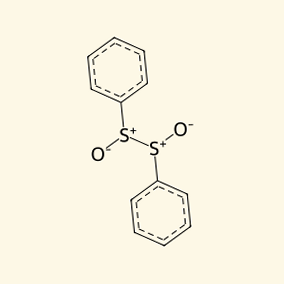 [O-][S+](c1ccccc1)[S+]([O-])c1ccccc1